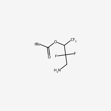 CC(C)(C)C(=O)OC(C(F)(F)F)C(F)(F)CN